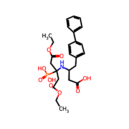 CCOC(=O)CC(CC(=O)OCC)(NC(CC(=O)O)Cc1ccc(-c2ccccc2)cc1)P(=O)(O)O